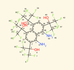 Nc1c(C(O)(C(F)(F)F)C(F)(F)F)cc(C(O)(C(F)(F)F)C(F)(F)F)c2c(C(O)(C(F)(F)F)C(F)(F)F)cc(C(O)(C(F)(F)F)C(F)(F)F)c(N)c12